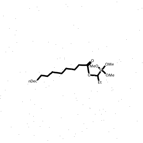 CCCCCCCCCCCCCCCCCC(=O)OC(CC)[Si](OC)(OC)OC